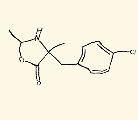 CC1NC(C)(Cc2ccc(Cl)cc2)C(=O)O1